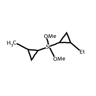 CCC1CC1[Si](OC)(OC)C1CC1C